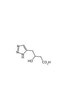 O=C(O)CC(O)Cc1cnn[nH]1